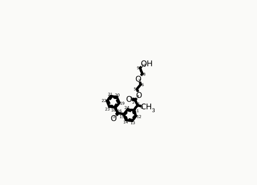 CC(C(=O)OCCOCCO)c1cccc(C(=O)c2ccccc2)c1